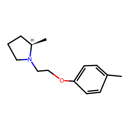 Cc1ccc(OCCN2CCC[C@H]2C)cc1